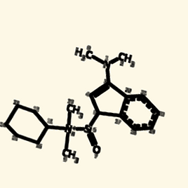 CN(C)C1=CC([Si](=O)[N+](C)(C)C2CCCCC2)c2ccccc21